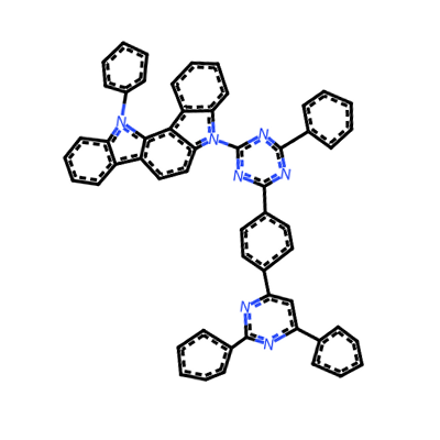 c1ccc(-c2cc(-c3ccc(-c4nc(-c5ccccc5)nc(-n5c6ccccc6c6c5ccc5c7ccccc7n(-c7ccccc7)c56)n4)cc3)nc(-c3ccccc3)n2)cc1